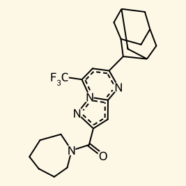 O=C(c1cc2nc(C3C4CC5CC(C4)CC3C5)cc(C(F)(F)F)n2n1)N1CCCCCC1